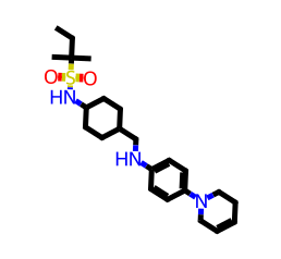 CCC(C)(C)S(=O)(=O)NC1CCC(CNc2ccc(N3CC=CCC3)cc2)CC1